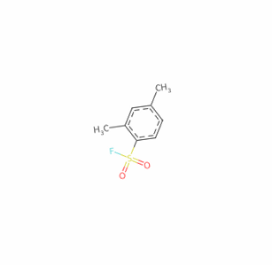 Cc1ccc(S(=O)(=O)F)c(C)c1